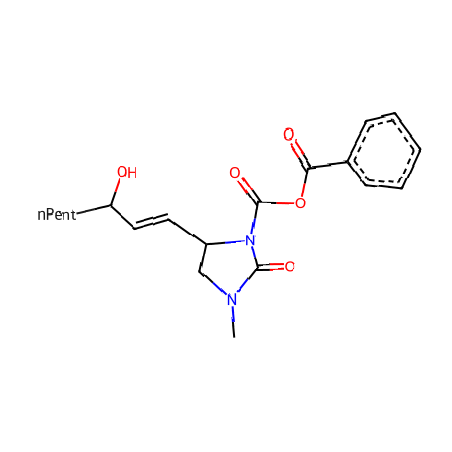 CCCCCC(O)/C=C/C1CN(C)C(=O)N1C(=O)OC(=O)c1ccccc1